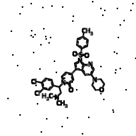 Cc1ccc(S(=O)(=O)n2cc(-c3ccn(C(CN(C)C)c4ccc(Cl)c(Cl)c4)c(=O)c3)c3cc(N4CCOCC4)cnc32)cc1